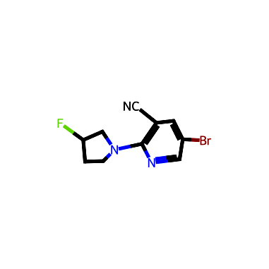 N#Cc1cc(Br)cnc1N1CCC(F)C1